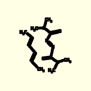 C/C=C/C=C/C.CN(C)C(=O)N=NC(=O)N(C)C